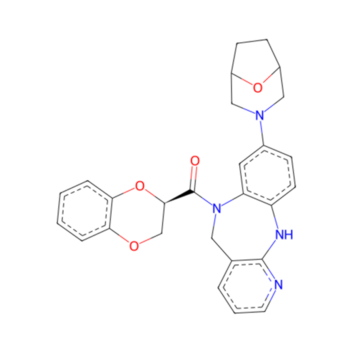 O=C([C@H]1COc2ccccc2O1)N1Cc2cccnc2Nc2ccc(N3CC4CCC(C3)O4)cc21